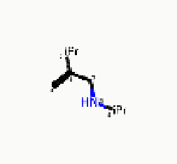 C=C(CNC(C)C)C(C)C